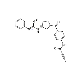 C=N/C(=N\c1ccccc1C)N[C@@H]1CCN(C(=O)c2ccc(NC(=O)C#CC)cc2)C1